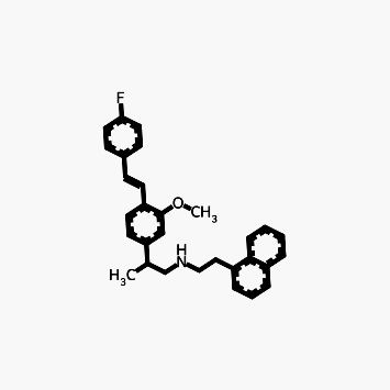 COc1cc(C(C)CNCCc2cccc3ccccc23)ccc1C=Cc1ccc(F)cc1